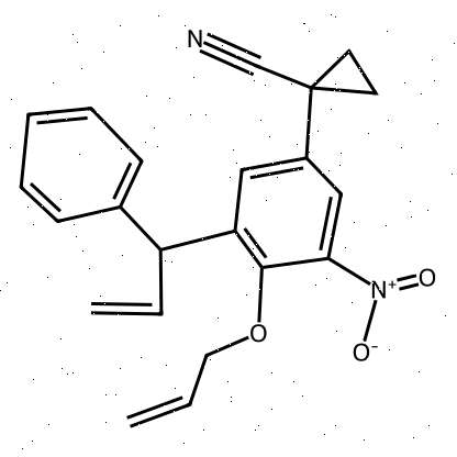 C=CCOc1c(C(C=C)c2ccccc2)cc(C2(C#N)CC2)cc1[N+](=O)[O-]